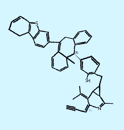 C#C/C=C1/N=C(C)C2C(Cc3ccc([C@H]4c5ccccc5CC(c5ccc6c7c(sc6c5)C=CCC7)=C5C=CC=CC54C)cc3S)C2C1=C(C)C